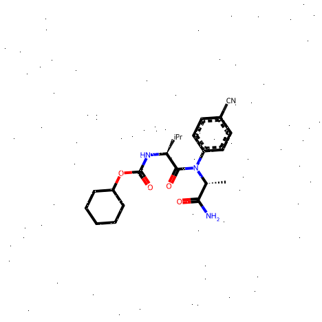 CC(C)[C@H](NC(=O)OC1CCCCC1)C(=O)N(c1ccc(C#N)cc1)[C@H](C)C(N)=O